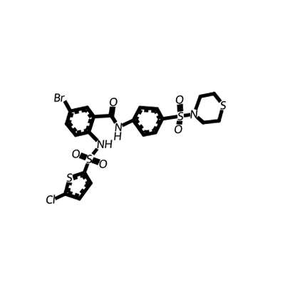 O=C(Nc1ccc(S(=O)(=O)N2CCSCC2)cc1)c1cc(Br)ccc1NS(=O)(=O)c1ccc(Cl)s1